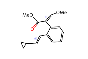 CO/C=C(/C(=O)OC)c1ccccc1/C=C/C1CC1